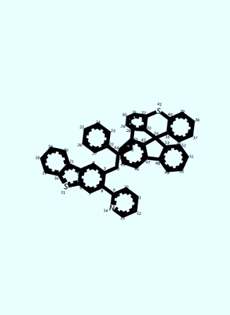 C(=C(\Cc1cc2c(cc1-c1ccccn1)sc1ccccc12)c1ccccc1)/c1cccc2c1C1(c3ccccc3S2)c2ccccc2-c2ccccc21